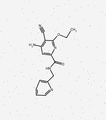 CCOc1nc(C(=O)NCc2ccccn2)cc(N)c1C#N